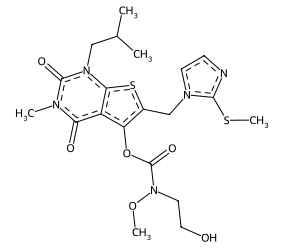 CON(CCO)C(=O)Oc1c(Cn2ccnc2SC)sc2c1c(=O)n(C)c(=O)n2CC(C)C